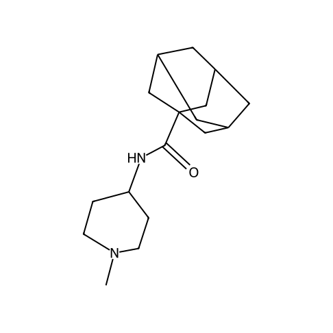 CN1CCC(NC(=O)C23CC4CC(CC(C4)C2)C3)CC1